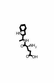 CC(NC(=O)[C@@H](N)CCC(=O)O)c1cc2ccccc2[nH]1